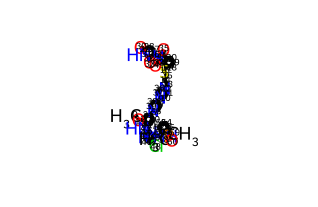 COc1cc(N2CCC(N3CCN(CCCSc4cccc5c4C(=O)N(C4CCC(=O)NC4=O)C5=O)CC3)CC2)ccc1Nc1ncc(Cl)c(Nc2ccccc2P(C)(C)=O)n1